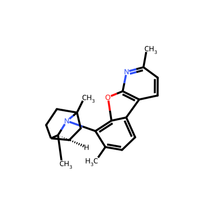 Cc1ccc2c(n1)oc1c(N3[C@@H](C)C4CCC3(C)CC4)c(C)ccc12